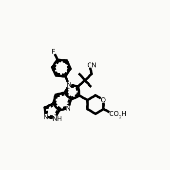 CC(C)(CC#N)c1c(C2CCC(C(=O)O)OC2)c2nc3[nH]ncc3cc2n1-c1ccc(F)cc1